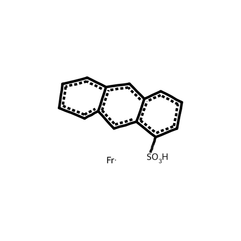 O=S(=O)(O)c1cccc2cc3ccccc3cc12.[Fr]